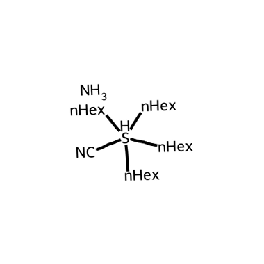 CCCCCC[SH](C#N)(CCCCCC)(CCCCCC)CCCCCC.N